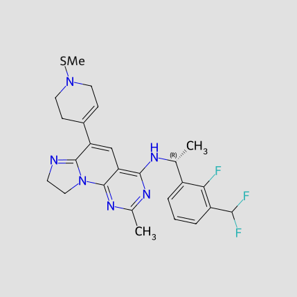 CSN1CC=C(C2=Cc3c(N[C@H](C)c4cccc(C(F)F)c4F)nc(C)nc3N3CCN=C23)CC1